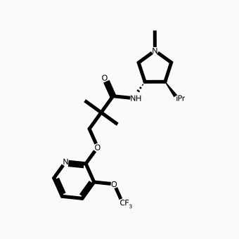 CC(C)[C@@H]1CN(C)C[C@H]1NC(=O)C(C)(C)COc1ncccc1OC(F)(F)F